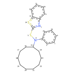 c1ccc(N(Sc2nc3ccccc3s2)C2CCCCCCCCC2)cc1